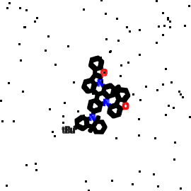 Cc1cc2c3c(c1)-n1c4oc5ccccc5c4c4cccc(c41)C3c1ccc(N3c4ccc(C(C)(C)C)cc4C4(C)CCCCC34C)cc1N2c1cccc2oc3ccccc3c12